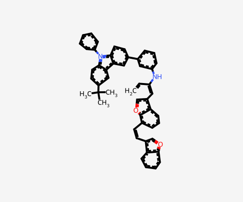 C=C/C(=C\c1coc2c(/C=C\c3coc4ccccc34)cccc12)Nc1cccc(-c2ccc3c(c2)c2cc(C(C)(C)C)ccc2n3-c2ccccc2)c1